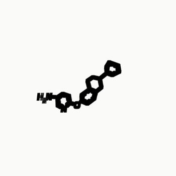 Nc1ccc(Oc2ccc3c(c2)CCC(c2ccccc2)C3)nc1